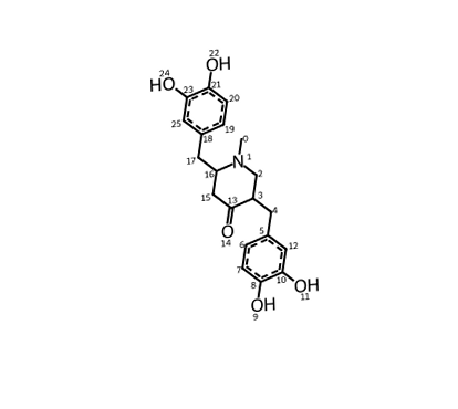 CN1CC(Cc2ccc(O)c(O)c2)C(=O)CC1Cc1ccc(O)c(O)c1